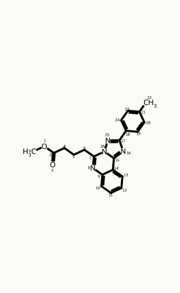 COC(=O)CCCc1nc2ccccc2c2nc(-c3ccc(C)cc3)nn12